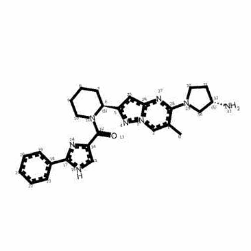 Cc1cn2nc([C@@H]3CCCCN3C(=O)c3c[nH]c(-c4ccccc4)n3)cc2nc1N1CC[C@H](N)C1